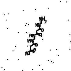 NCNC(=O)CC(=O)NCNC(=O)CC(=O)O